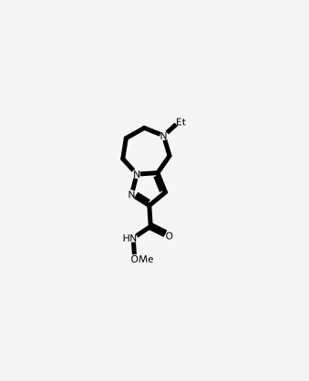 CCN1CCCn2nc(C(=O)NOC)cc2C1